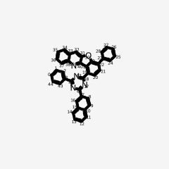 c1ccc(-c2nc(-c3ccc4ccccc4c3)nc(-c3ccc(-c4ccccc4)c4oc5cc6ccccc6nc5c34)n2)cc1